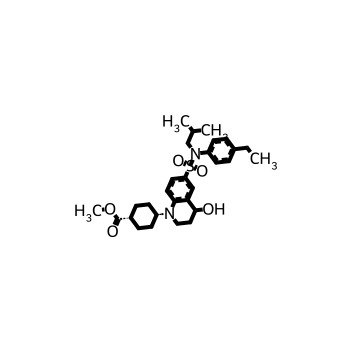 CCc1ccc(N(CC(C)C)S(=O)(=O)c2ccc3c(c2)C(O)CCN3[C@H]2CC[C@@H](C(=O)OC)CC2)cc1